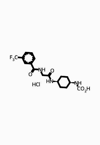 Cl.O=C(O)N[C@H]1CC[C@@H](NC(=O)CNC(=O)c2cccc(C(F)(F)F)c2)CC1